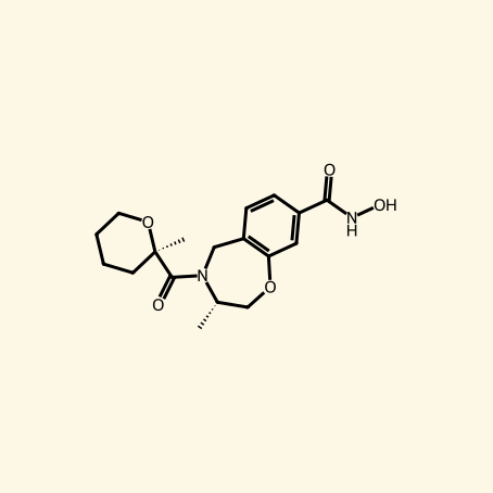 C[C@H]1COc2cc(C(=O)NO)ccc2CN1C(=O)[C@@]1(C)CCCCO1